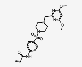 C=CC(=O)Nc1ccc(S(=O)(=O)N2CCN(Cc3nc(OC)cc(OC)n3)CC2)cc1